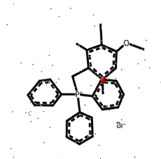 COc1cc(C)c(C[P+](c2ccccc2)(c2ccccc2)c2ccccc2)c(C)c1C.[Br-]